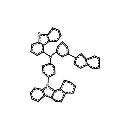 c1cc(-c2ccc3ccccc3c2)cc(N(c2ccc(-n3c4ccccc4c4ccc5ccccc5c43)cc2)c2cccc3sc4ccccc4c23)c1